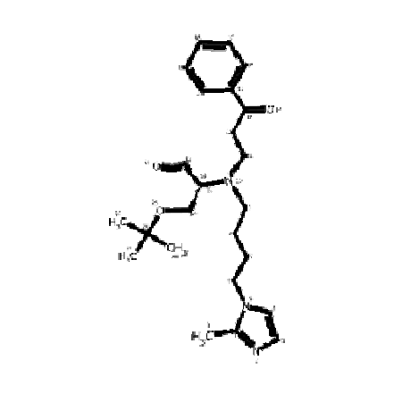 Cc1nccn1CCCCN(CCC(=O)c1ccccc1)[C@H]([C]=O)COC(C)(C)C